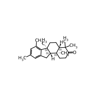 Cc1cc(C)c2c(c1)C[C@H]1[C@]3(C)CCC(=O)C(C)(C)[C@H]3CC[C@]21C